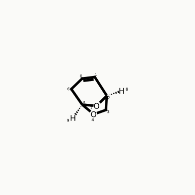 C1=C[C@H]2CO[C@@H](C1)O2